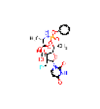 CC(C)OC(=O)[C@H](C)N[P@](=O)(Oc1ccccc1)O[C@H](C)[C@H]1O[C@@H](n2ccc(=O)[nH]c2=O)[C@@](O)(CF)C1O